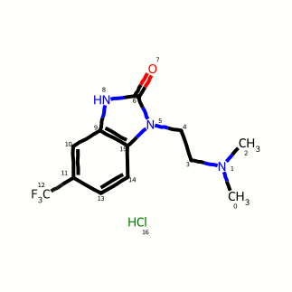 CN(C)CCn1c(=O)[nH]c2cc(C(F)(F)F)ccc21.Cl